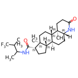 CC(NC(=O)[C@H]1CC[C@H]2[C@@H]3CC[C@H]4NC(=O)CC[C@]4(C)[C@H]3CC[C@]12C)C(C)C(F)(F)F